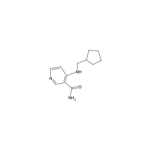 NC(=O)c1cnccc1NCC1CCCC1